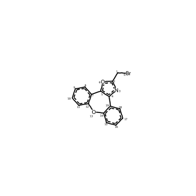 BrCc1nc2c(o1)-c1ccccc1Oc1ccccc1-2